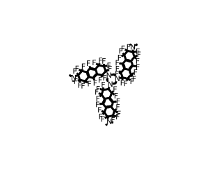 CN(C)C1(F)C(F)(F)c2c(F)c3c(c(F)c2C(F)(F)C1(F)F)C(F)(F)C(N1CN(C2(F)C(F)(F)c4c(F)c5c(c(F)c4C(F)(F)C2(F)F)C(F)(F)C(F)(N(C)C)C(F)(F)C5(F)F)CN(C2(F)C(F)(F)c4c(F)c5c(c(F)c4C(F)(F)C2(F)F)C(F)(F)C(F)(N(C)C)C(F)(F)C5(F)F)C1)C(F)(F)C3(F)F